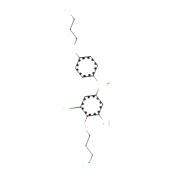 [O-][S+](c1ccc(OCCCO)cc1)c1cc(Cl)c(OCCCCl)c(Cl)c1